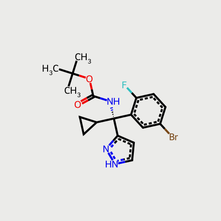 CC(C)(C)OC(=O)N[C@@](c1cc[nH]n1)(c1cc(Br)ccc1F)C1CC1